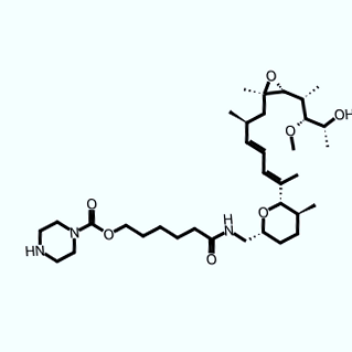 CO[C@H]([C@@H](C)[C@H]1O[C@]1(C)C[C@H](C)/C=C/C=C(\C)[C@H]1O[C@@H](CNC(=O)CCCCCOC(=O)N2CCNCC2)CC[C@@H]1C)[C@@H](C)O